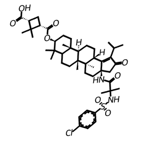 CC(C)C1=C2[C@H]3CC[C@@H]4[C@@]5(C)CC[C@H](OC(=O)[C@H]6C[C@@H](C(=O)O)C6(C)C)C(C)(C)C5CC[C@@]4(C)[C@]3(C)CC[C@@]2(NC(=O)C(C)(C)NS(=O)(=O)c2ccc(Cl)cc2)CC1=O